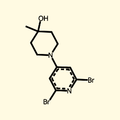 CC1(O)CCN(c2cc(Br)nc(Br)c2)CC1